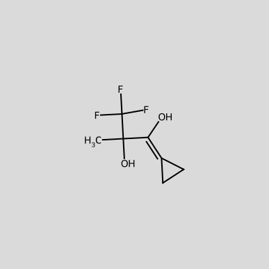 CC(O)(C(O)=C1CC1)C(F)(F)F